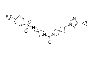 O=C(N1CC2(CC(n3cnc(C4CC4)n3)C2)C1)N1CC2(C1)CN(S(=O)(=O)c1ccc(C(F)(F)F)nc1)C2